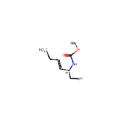 CC(C)C[C@@H](C=CCC(=O)O)NC(=O)OC(C)(C)C